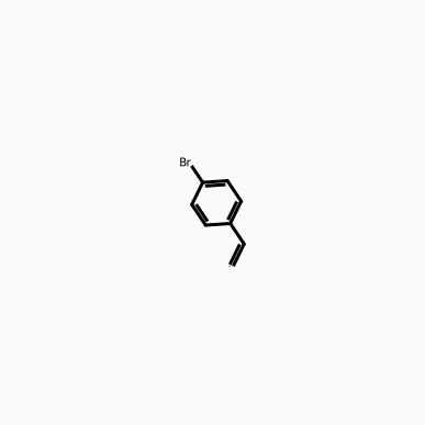 [CH]=Cc1ccc(Br)cc1